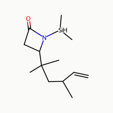 C=CC(C)CC(C)(C)C1CC(=O)N1[SiH](C)C